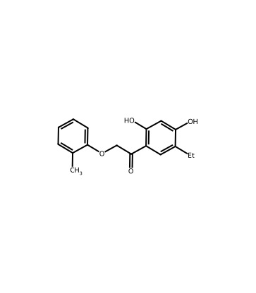 CCc1cc(C(=O)COc2ccccc2C)c(O)cc1O